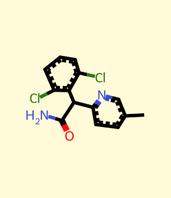 Cc1ccc(C(C(N)=O)c2c(Cl)cccc2Cl)nc1